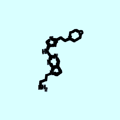 NCCCn1ccc2cnc(Nc3cnn(CCN4CCOCC4)c3)nc21